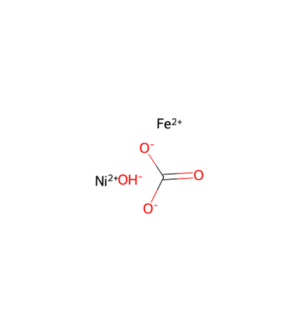 O=C([O-])[O-].[Fe+2].[Ni+2].[OH-]